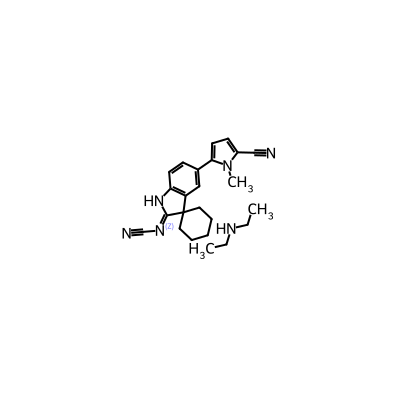 CCNCC.Cn1c(C#N)ccc1-c1ccc2c(c1)C1(CCCCC1)/C(=N/C#N)N2